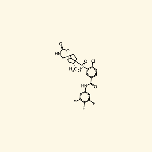 C[C@H]1CC2CC(S(=O)(=O)c3cc(C(=O)Nc4cc(F)c(F)c(F)c4)ccc3Cl)CC1[C@@]21CNC(=O)O1